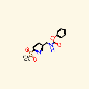 CCS(=O)(=O)c1ccc(CNC(=O)Oc2ccccc2)cn1